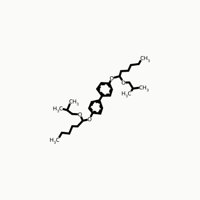 CCCCCC(OCC(C)C)Oc1ccc(-c2ccc(OC(CCCCC)OCC(C)C)cc2)cc1